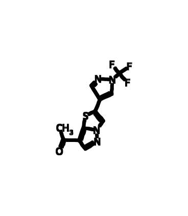 CC(=O)c1cnn2cc(-c3cnn(C(F)(F)F)c3)sc12